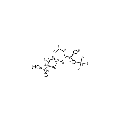 CC(C)(C)OC(=O)N1CCCc2sc(C(=O)O)cc2C1